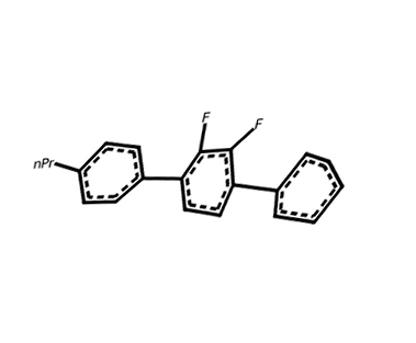 CCCc1ccc(-c2ccc(-c3ccccc3)c(F)c2F)cc1